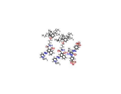 CCC(C)(C)c1ccc(OCCCCNC(=O)c2cc(N=Nc3ccc[n+](C)c3)c3ccccc3c2O)c(C(C)(C)CC)c1.CCC(C)(C)c1ccc(OCCCCNC(=O)c2cc(N=Nc3ccc[n+](C)c3)c3ccccc3c2O)c(C(C)(C)CC)c1.Cc1[nH]n(-c2ccc(S(=O)(=O)[O-])cc2)c(=O)c1N=Nc1ccc(S(=O)(=O)[O-])cc1